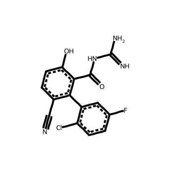 N#Cc1ccc(O)c(C(=O)NC(=N)N)c1-c1cc(F)ccc1Cl